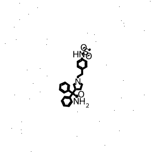 CS(=O)(=O)Nc1ccc(CCN2CCC(C(C(N)=O)(c3ccccc3)c3ccccc3)C2)cc1